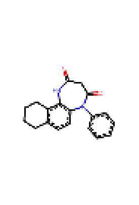 O=C1CC(=O)N(c2ccccc2)c2ccc3c(c2N1)CCCC3